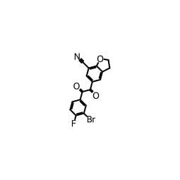 N#Cc1cc(C(=O)C(=O)c2ccc(F)c(Br)c2)cc2c1OCC2